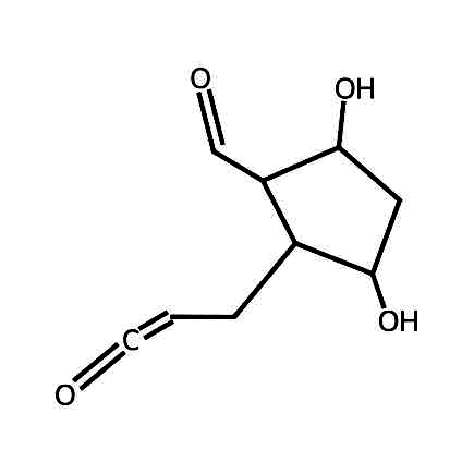 O=C=CCC1C(O)CC(O)C1C=O